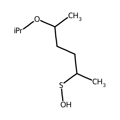 CC(C)OC(C)CCC(C)SO